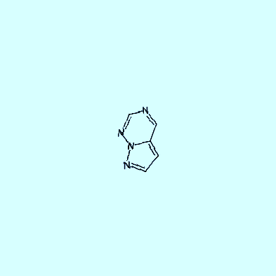 c1cc2cncnn2n1